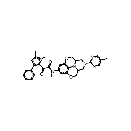 Cc1cc(-c2ccccc2)c(C(=O)C(=O)Nc2cc3c4c(c2)OCC2CN(c5ncc(F)cn5)CC(CO3)N42)n1C